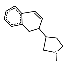 CN1CCC(C2C=Cc3ccccc3C2)C1